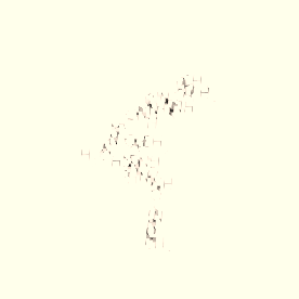 COc1cc2[nH]c(=S)n(CCNC(=O)c3cc4ccc(-c5cnc(N6CCN(C)CC6)c(COc6cc7[nH]c(=S)n(CCNC(=O)c8cc9cc(-c%10ccc(N%11CCN(C)CC%11)nc%10)ccc9[nH]8)c(=N)c7cc6OC)c5)cc4[nH]3)c(=N)c2cc1OC